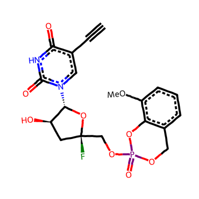 C#Cc1cn([C@@H]2O[C@](F)(COP3(=O)OCc4cccc(OC)c4O3)C[C@H]2O)c(=O)[nH]c1=O